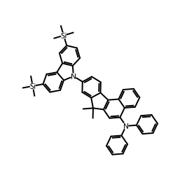 CC1(C)c2cc(-n3c4ccc([Si](C)(C)C)cc4c4cc([Si](C)(C)C)ccc43)ccc2-c2c1cc(N(c1ccccc1)c1ccccc1)c1ccccc21